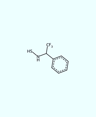 FC(F)(F)C(NS)c1ccccc1